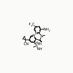 C=C(c1ncc(C2(C#N)CC2)cc1[SH](C)(=N)CC)N(C)c1ncc(C(F)(F)F)cc1N